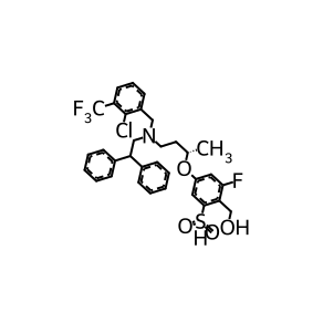 C[C@@H](CCN(Cc1cccc(C(F)(F)F)c1Cl)CC(c1ccccc1)c1ccccc1)Oc1cc(F)c(CO)c([SH](=O)=O)c1